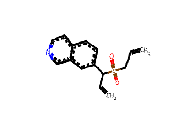 C=CCS(=O)(=O)C(C=C)c1ccc2c[c]ncc2c1